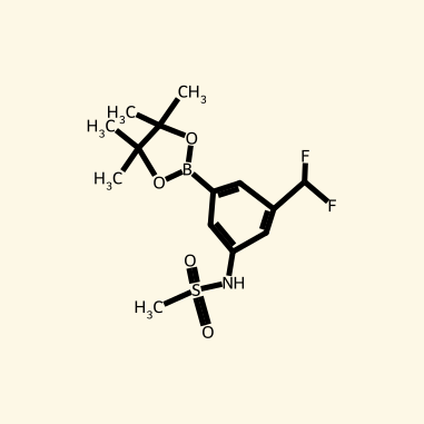 CC1(C)OB(c2cc(NS(C)(=O)=O)cc(C(F)F)c2)OC1(C)C